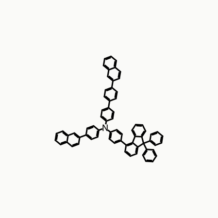 c1ccc(C2(c3ccccc3)c3ccccc3-c3c(-c4ccc(N(c5ccc(-c6ccc(-c7ccc8ccccc8c7)cc6)cc5)c5ccc(-c6ccc7ccccc7c6)cc5)cc4)cccc32)cc1